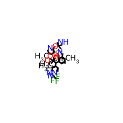 Cc1cnc2c(c1)[S+]([O-])N(Cc1cc(C(c3ccn4c(C(F)(F)F)nnc4c3C)C(C)(C)C(=O)O)ccc1C)CC1(CNC1)O2